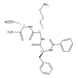 N#CC[C@H](NC(=O)[C@H](CCCCN)NC(=O)[C@H](Cc1ccccc1)NC(=O)c1ccccc1)C(N)=O